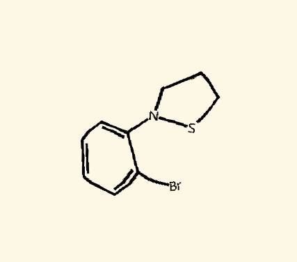 Brc1ccccc1N1CCCS1